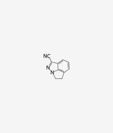 N#Cc1nn2c3c(cccc13)CC2